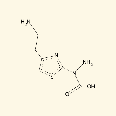 NCCc1csc(N(N)C(=O)O)n1